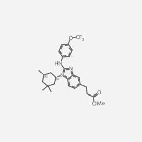 COC(=O)CCc1ccc2c(c1)nc(Nc1ccc(OC(F)(F)F)cc1)n2[C@@H]1C[C@H](C)CC(C)(C)C1